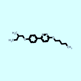 CCCCCOc1ccc(-c2ccc(OCC(C)CC)cc2)nn1